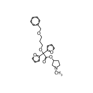 CN1CCC(OC(=O)C(OCCCOCc2ccccc2)(c2ccco2)c2ccco2)C1